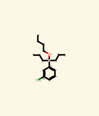 CCCCO[Si](CCC)(CCC)c1cccc(Cl)c1